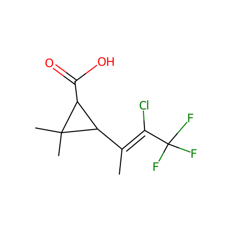 CC(=C(Cl)C(F)(F)F)C1C(C(=O)O)C1(C)C